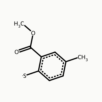 COC(=O)c1cc(C)ccc1[S]